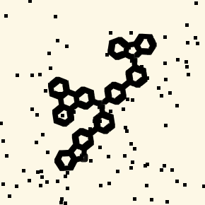 c1cc(-c2ccc3c(c2)oc2ccccc23)cc(N(c2ccc(-c3cccc(-n4c5ccccc5c5ccccc54)c3)cc2)c2ccc3c4ccccc4c4ccccc4c3c2)c1